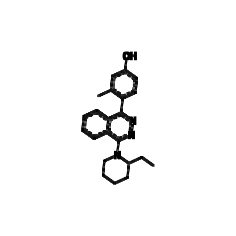 CCC1CCCCN1c1nnc(-c2ccc(O)cc2C)c2ccccc12